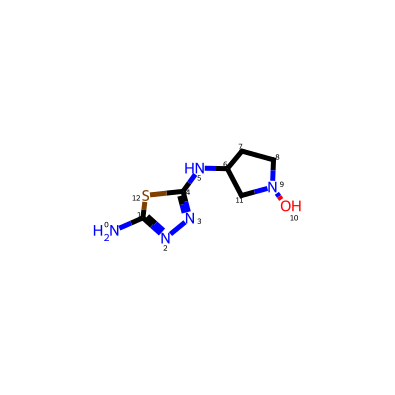 Nc1nnc(NC2CCN(O)C2)s1